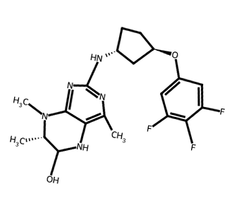 Cc1nc(N[C@@H]2CC[C@@H](Oc3cc(F)c(F)c(F)c3)C2)nc2c1NC(O)[C@H](C)N2C